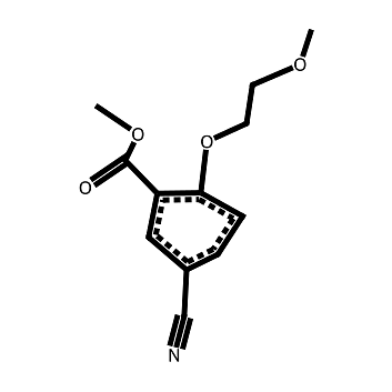 COCCOc1ccc(C#N)cc1C(=O)OC